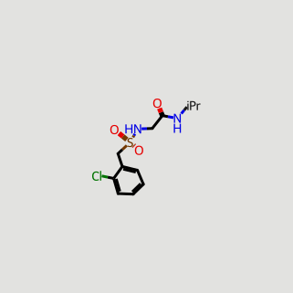 CC(C)NC(=O)CNS(=O)(=O)Cc1ccccc1Cl